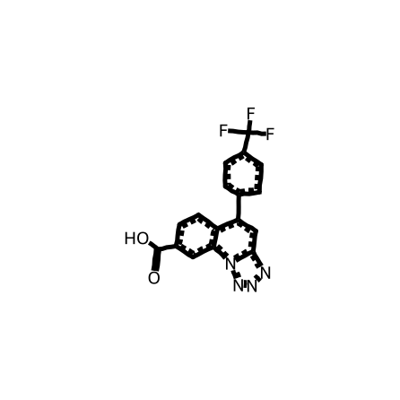 O=C(O)c1ccc2c(-c3ccc(C(F)(F)F)cc3)cc3nnnn3c2c1